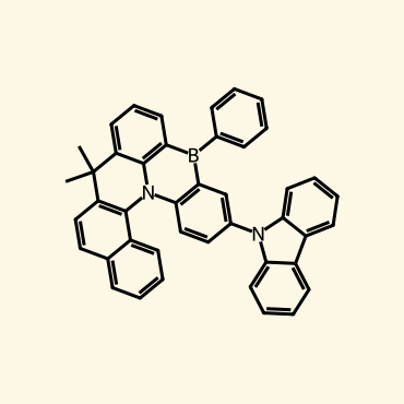 CC1(C)c2cccc3c2N(c2ccc(-n4c5ccccc5c5ccccc54)cc2B3c2ccccc2)c2c1ccc1ccccc21